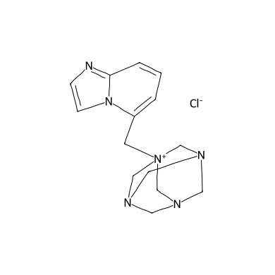 [Cl-].c1cc(C[N+]23CN4CN(CN(C4)C2)C3)n2ccnc2c1